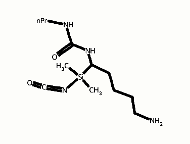 CCCNC(=O)NC(CCCCN)[Si](C)(C)N=C=O